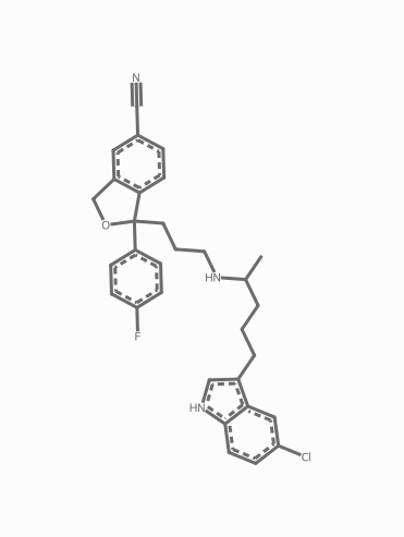 CC(CCCc1c[nH]c2ccc(Cl)cc12)NCCCC1(c2ccc(F)cc2)OCc2cc(C#N)ccc21